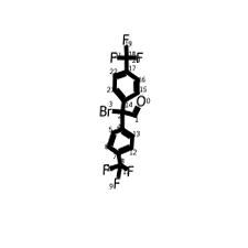 O=CC(Br)(c1ccc(C(F)(F)F)cc1)c1ccc(C(F)(F)F)cc1